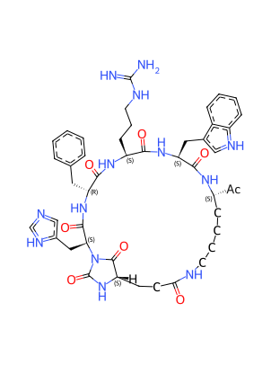 CC(=O)[C@@H]1CCCCNC(=O)CC[C@@H]2NC(=O)N(C2=O)[C@@H](Cc2cnc[nH]2)C(=O)N[C@H](Cc2ccccc2)C(=O)N[C@@H](CCCNC(=N)N)C(=O)N[C@@H](Cc2c[nH]c3ccccc23)C(=O)N1